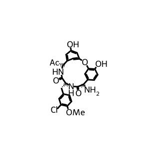 COc1ccc(C[C@H]2NC(=O)[C@H](N)c3ccc(O)c(c3)Oc3cc(O)cc(c3)[C@@H](C(C)=O)NC2=O)cc1Cl